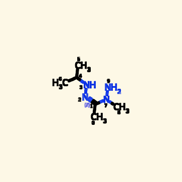 C/C(=N/NC(C)C)N(C)N